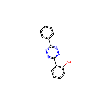 Oc1ccccc1-c1nnc(-c2ccccc2)nn1